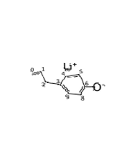 C=CCc1ccc([O-])cc1.[Li+]